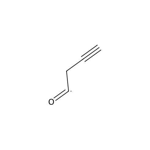 C#CC[C]=O